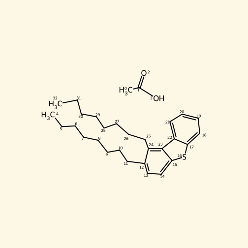 CC(=O)O.CCCCCCCCc1ccc2sc3ccccc3c2c1CCCCCCCC